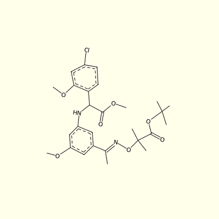 COC(=O)C(Nc1cc(OC)cc(C(C)=NOC(C)(C)C(=O)OC(C)(C)C)c1)c1ccc(Cl)cc1OC